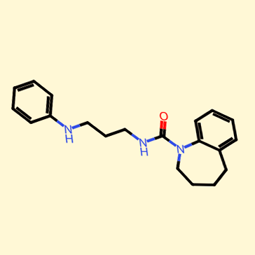 O=C(NCCCNc1ccccc1)N1CCCCc2ccccc21